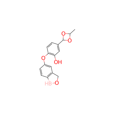 CC1OC(c2ccc(Oc3ccc4c(c3)COB4)c(O)c2)O1